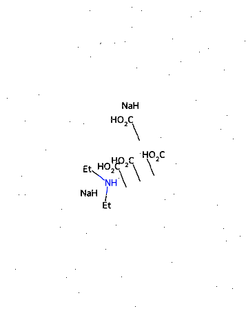 CC(=O)O.CC(=O)O.CC(=O)O.CC(=O)O.CCNCC.[NaH].[NaH]